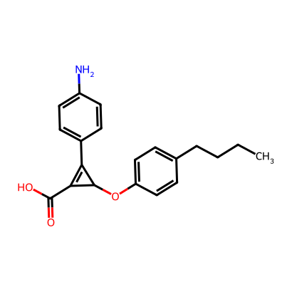 CCCCc1ccc(OC2C(C(=O)O)=C2c2ccc(N)cc2)cc1